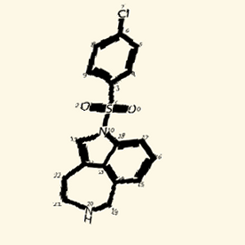 O=S(=O)(c1ccc(Cl)cc1)n1cc2c3c(cccc31)CNCC2